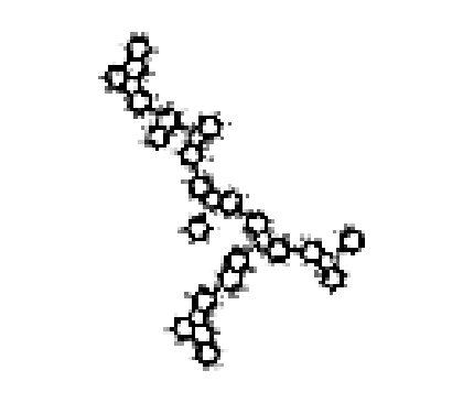 c1ccc(-n2c3ccccc3c3cc(-c4ccc5c(c4)c4ccc(-c6ccc7c8cc(-c9ccc%10c(c9)c9ccccc9n%10-c9ccc(-c%10ccc%11c(c%10)-c%10cc%12ccccc%12c%12cccc-%11c%10%12)c%10ccccc9%10)ccc8n(-c8ccccc8)c7c6)cc4n5-c4ccc5cc(-c6ccc7c(c6)-c6cc8ccccc8c8cccc-7c68)ccc5c4)ccc32)cc1